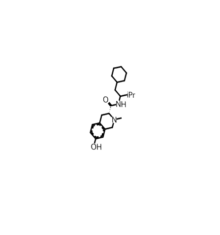 CC(C)C(CC1CCCCC1)NC(=O)[C@H]1Cc2ccc(O)cc2CN1C